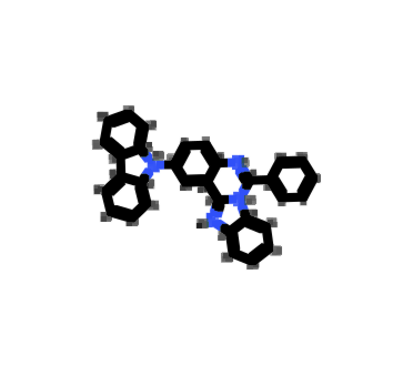 c1ccc(-c2nc3ccc(-n4c5ccccc5c5ccccc54)cc3c3nc4ccccc4n23)cc1